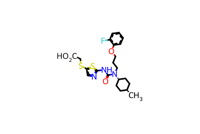 C[C@H]1CC[C@H](N(CCCOc2ccccc2F)C(=O)Nc2ncc(SCC(=O)O)s2)CC1